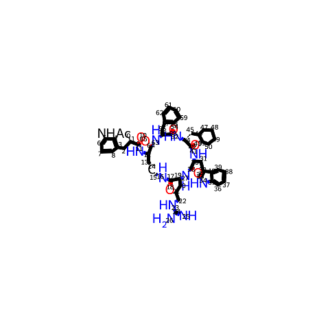 CC(=O)N[C@@H](Cc1ccccc1)C(=O)NC1CCCNC(=O)C(CCCNC(=N)N)NC(=O)C(Cc2c[nH]c3ccccc23)NC(=O)[C@@H](CC2CCCCC2)NC(=O)C(Cc2ccccc2)NC1=O